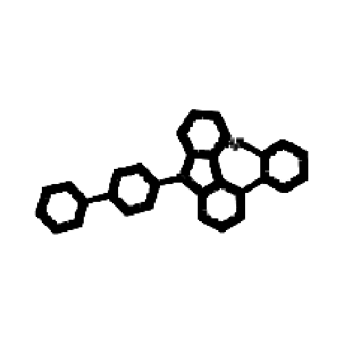 Nc1ccccc1-c1cccc2c1c1ccccc1n2-c1ccc(-c2ccccc2)cc1